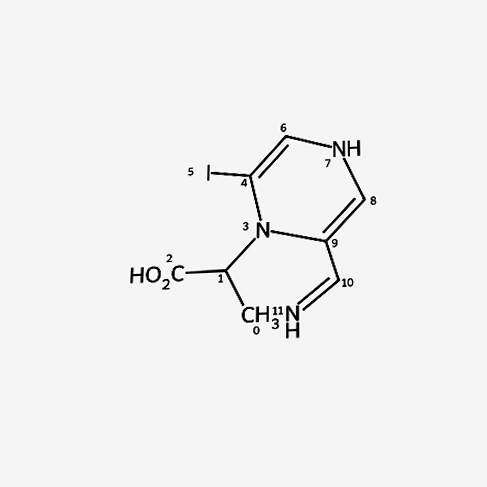 CC(C(=O)O)N1C(I)=CNC=C1C=N